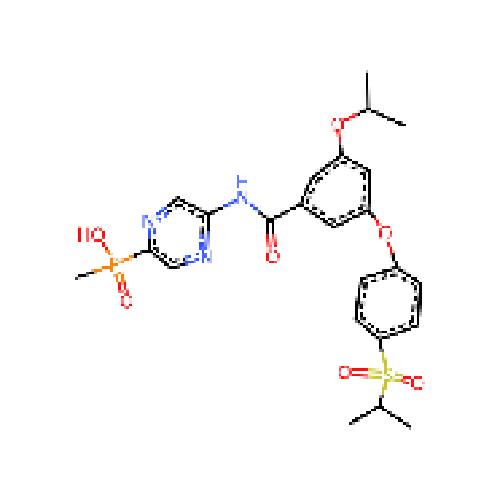 CC(C)Oc1cc(Oc2ccc(S(=O)(=O)C(C)C)cc2)cc(C(=O)Nc2cnc(P(C)(=O)O)cn2)c1